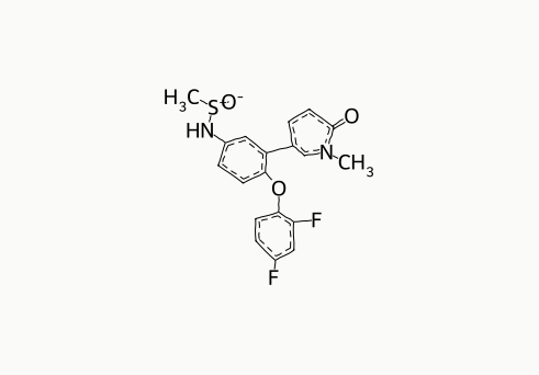 Cn1cc(-c2cc(N[S+](C)[O-])ccc2Oc2ccc(F)cc2F)ccc1=O